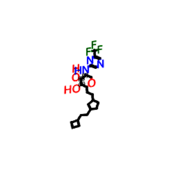 O[C@@H]1[C@@H](Nc2cncc(C(F)(F)F)n2)COC(CCC2CCC(CCC3CCC3)C2)[C@@H]1O